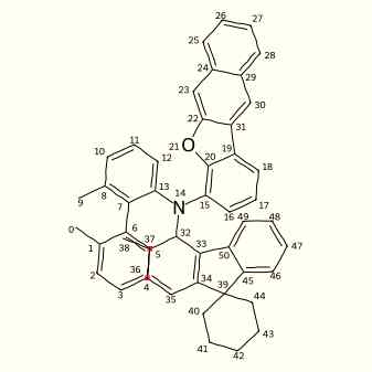 Cc1ccccc1-c1c(C)cccc1N(c1cccc2c1oc1cc3ccccc3cc12)C1C2=C(C=CC1C)C1(CCCCC1)c1ccccc12